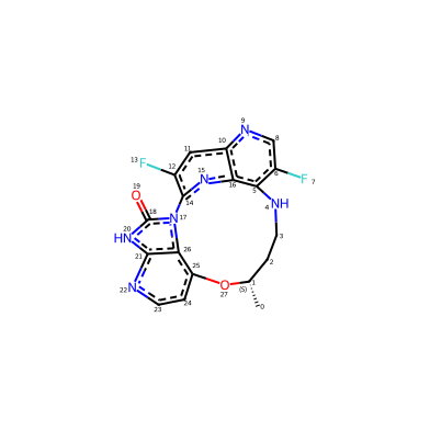 C[C@H]1CCNc2c(F)cnc3cc(F)c(nc23)-n2c(=O)[nH]c3nccc(c32)O1